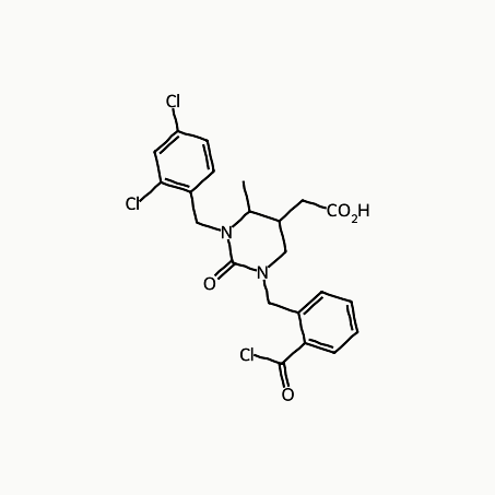 CC1C(CC(=O)O)CN(Cc2ccccc2C(=O)Cl)C(=O)N1Cc1ccc(Cl)cc1Cl